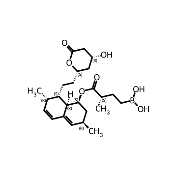 C[C@H]1C=C2C=C[C@H](C)[C@H](CC[C@H]3C[C@@H](O)CC(=O)O3)[C@H]2[C@@H](OC(=O)[C@@H](C)CCB(O)O)C1